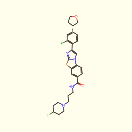 O=C(NCCCN1CCC(F)CC1)c1ccc2c(c1)sc1nc(-c3ccc([C@@H]4CCOC4)cc3F)cn12